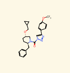 O=C(N1C[C@@H](OCC2CC2)CC[C@@H]1Cc1ccccc1)n1cc(-c2ccc(OC(F)(F)F)cc2)nn1